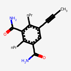 CC#Cc1cc(C(N)=O)c(CCC)c(C(N)=O)c1CCC